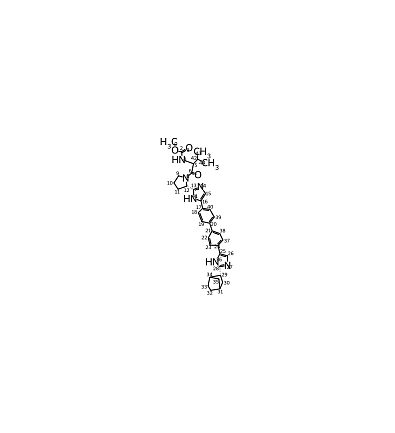 COC(=O)NC(C(=O)N1CCC[C@H]1c1ncc(-c2ccc(-c3ccc(-c4cnc([C@@H]5CC6CCC5C6)[nH]4)cc3)cc2)[nH]1)C(C)C